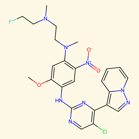 COc1cc(N(C)CCN(C)CCF)c([N+](=O)[O-])cc1Nc1ncc(Cl)c(-c2cnn3ccccc23)n1